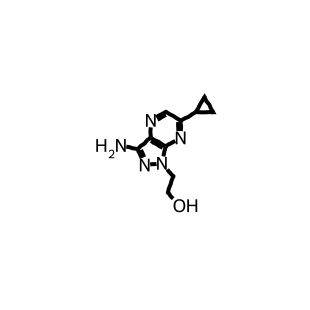 Nc1nn(CCO)c2nc(C3CC3)cnc12